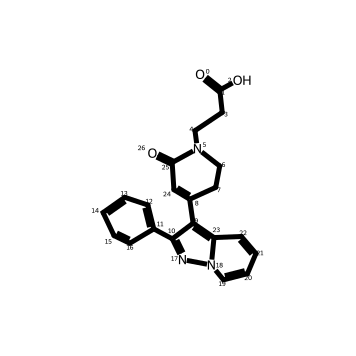 O=C(O)CCN1CCC(c2c(-c3ccccc3)nn3ccccc23)=CC1=O